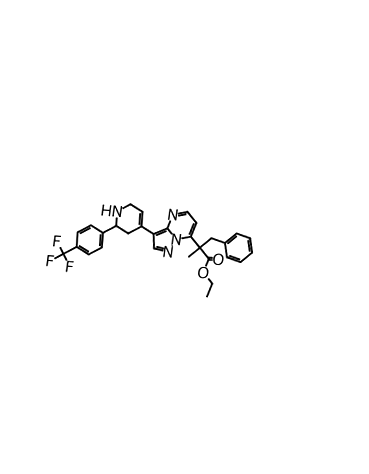 CCOC(=O)C(C)(Cc1ccccc1)c1ccnc2c(C3=CCNC(c4ccc(C(F)(F)F)cc4)C3)cnn12